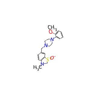 COc1ccccc1N1CCN(Cc2ccc3c(c2)[S+]([O-])CN3C)CC1